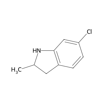 CC1Cc2ccc(Cl)cc2N1